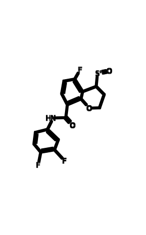 O=[S+]C1CCOc2c(C(=O)Nc3ccc(F)c(F)c3)ccc(F)c21